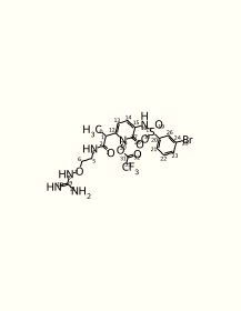 CC(C(=O)NCCONC(=N)N)c1ccc(NS(=O)(=O)c2cccc(Br)c2)c(=O)n1OC(=O)C(F)(F)F